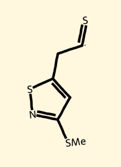 CSc1cc(C[C]=S)sn1